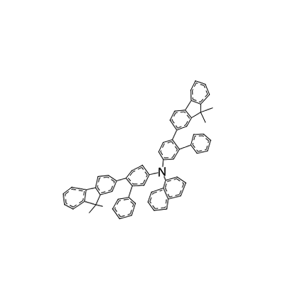 CC1(C)c2ccccc2-c2ccc(-c3ccc(N(c4ccc(-c5ccc6c(c5)C(C)(C)c5ccccc5-6)c(-c5ccccc5)c4)c4cccc5ccccc45)cc3-c3ccccc3)cc21